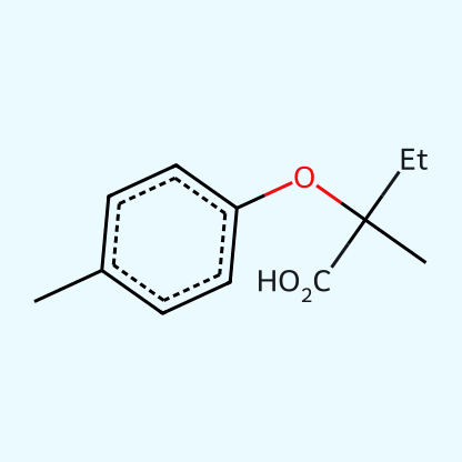 CCC(C)(Oc1ccc(C)cc1)C(=O)O